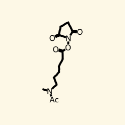 CC(=O)N(C)CCCCCC(=O)ON1C(=O)CCC1=O